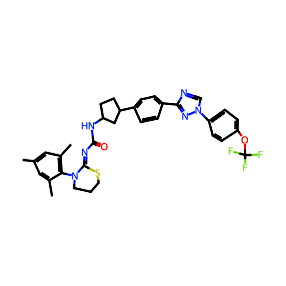 Cc1cc(C)c(N2CCCS/C2=N\C(=O)NC2CCC(c3ccc(-c4ncn(-c5ccc(OC(F)(F)F)cc5)n4)cc3)C2)c(C)c1